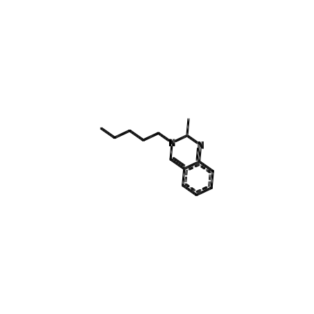 CCCCCN1C=c2ccccc2=NC1C